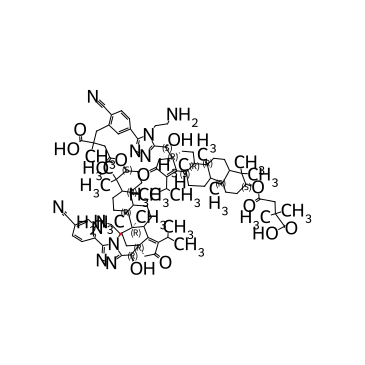 CC(C)C1=C2[C@H]3CCC4[C@@]5(C)CC[C@H](OC(=O)CC(C)(C)C(=O)O)C(C)(C)C5CC[C@@]4(C)[C@]3(C)CC[C@@]2([C@H](O)c2nnc(-c3ccc(C#N)c(CC(C)(CC(=O)O[C@H]4CC[C@@]5(C)C(CC[C@]6(C)C5CCC5C7=C(C(C)C)C(=O)C[C@]7([C@@H](O)c7nnc(-c8ccc(C#N)cn8)n7CCN)CC[C@]56C)C4(C)C)C(=O)O)c3)n2CCN)CC1=O